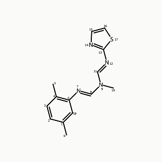 Cc1ccc(C)c(N=CN(C)C=Nc2nccs2)c1